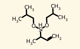 C=CC(C)[SiH](OCC(C)C)OCC(C)C